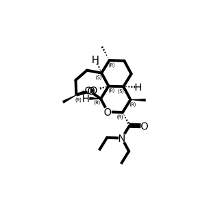 CCN(CC)C(=O)[C@@H]1O[C@@H]2O[C@@]3(C)CC[C@H]4[C@H](C)CC[C@@H]([C@H]1C)[C@@]24OO3